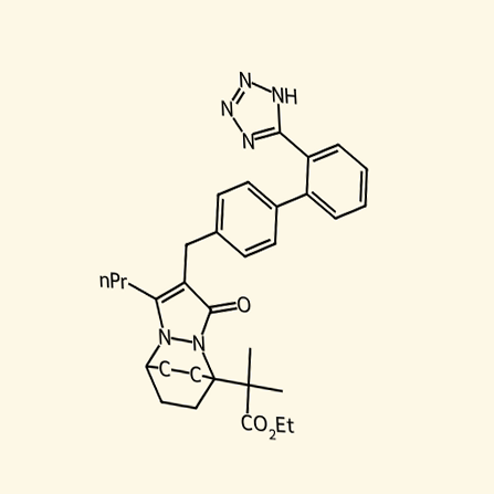 CCCc1c(Cc2ccc(-c3ccccc3-c3nnn[nH]3)cc2)c(=O)n2n1C1CCC2(C(C)(C)C(=O)OCC)CC1